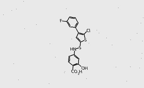 O=C(O)c1ccc(NSc2cc(-c3cccc(F)c3)c(Cl)s2)cc1O